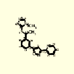 CC(Sc1nncn1C)c1cccc(-c2cc(-c3ccccn3)no2)c1